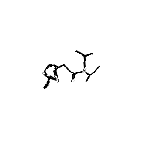 Cc1nc(CC(=O)N(C(C)C)C(C)C)cs1